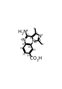 Cc1nc(C)n2c1c(N)nc1ccc(C(=O)O)cc12